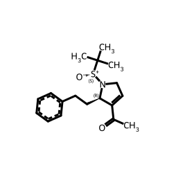 CC(=O)C1=CCN([S@+]([O-])C(C)(C)C)[C@@H]1CCc1ccccc1